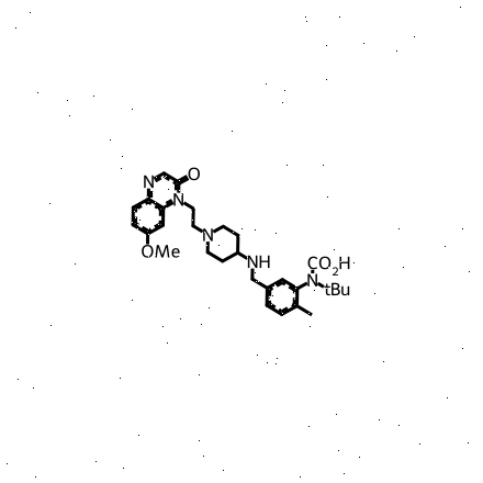 COc1ccc2ncc(=O)n(CCN3CCC(NCc4ccc(C)c(N(C(=O)O)C(C)(C)C)c4)CC3)c2c1